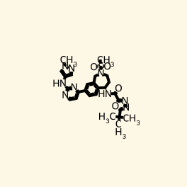 Cn1cc(Nc2nccc(-c3ccc4c(c3)CN(S(C)(=O)=O)CC[C@@H]4NC(=O)c3nnc(C(C)(C)C)o3)n2)cn1